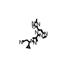 Cc1noc(-c2cc3nccn3c(-c3cnn(C(CC#N)C4CC4)c3)n2)n1